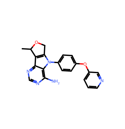 CC1OCc2c1c1ncnc(N)c1n2-c1ccc(Oc2cccnc2)cc1